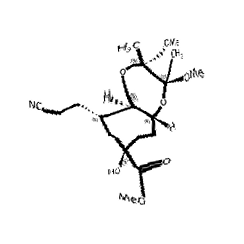 COC(=O)[C@]1(O)C[C@H](CCC#N)[C@H]2O[C@](C)(OC)[C@@](C)(OC)O[C@@H]2C1